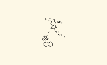 CCOCc1nc2c(N)nc(C)cc2n1CCCCNS(=O)(=O)c1cccc2ccccc12